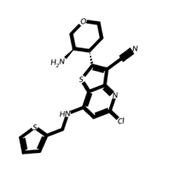 N#Cc1c([C@H]2CCOC[C@@H]2N)sc2c(NCc3cccs3)cc(Cl)nc12